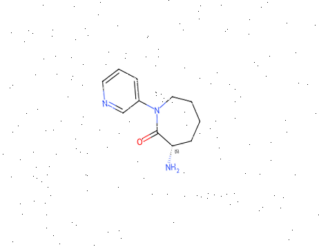 N[C@H]1CCCCN(c2cccnc2)C1=O